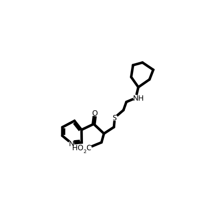 O=C(O)CC(CSCCNC1CCCCC1)C(=O)c1cccnc1